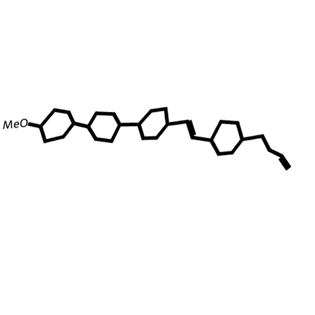 C=CCCC1CCC(/C=C/C2CCC(C3CCC(C4CCC(OC)CC4)CC3)CC2)CC1